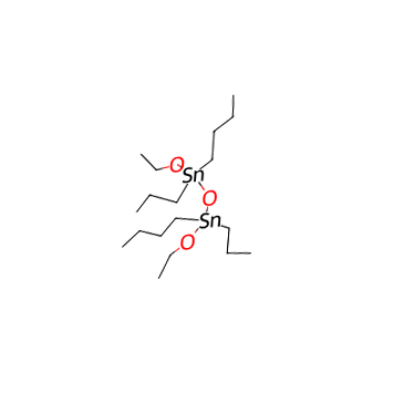 CCC[CH2][Sn]([CH2]CC)([O]CC)[O][Sn]([CH2]CC)([CH2]CCC)[O]CC